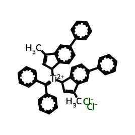 CC1=C[CH]([Ti+2](=[C](c2ccccc2)c2ccccc2)[CH]2C=C(C)c3cc(-c4ccccc4)ccc32)c2ccc(-c3ccccc3)cc21.[Cl-].[Cl-]